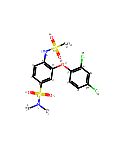 CCN(CC)S(=O)(=O)c1ccc(NS(C)(=O)=O)c(Oc2ccc(Cl)cc2Cl)c1